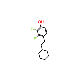 Oc1ccc(CCC2CCCCC2)c(F)c1F